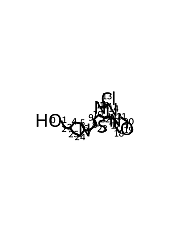 OCCC1CCN(Cc2cc3nc(Cl)nc(N4CCOCC4)c3s2)CC1